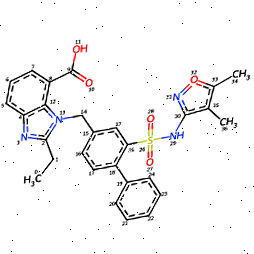 CCc1nc2cccc(C(=O)O)c2n1Cc1ccc(-c2ccccc2)c(S(=O)(=O)Nc2noc(C)c2C)c1